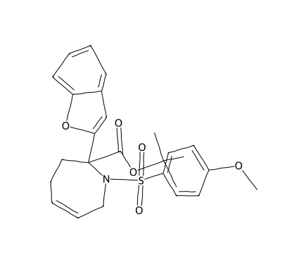 COc1ccc(S(=O)(=O)N2CC=CCCC2(C(=O)OC(C)(C)C)c2cc3ccccc3o2)cc1